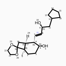 C[C@@]12CC[C@H](O)[C@@H](/C=C/[C@@H](O)CC3CCCC3)[C@@H]1CC21OCCO1